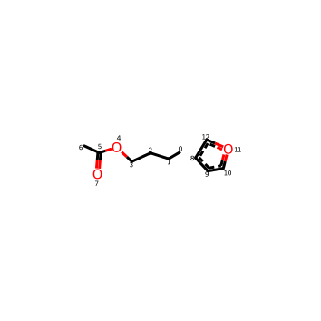 CCCCOC(C)=O.c1ccoc1